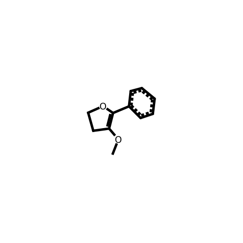 COC1=C(c2ccccc2)OCC1